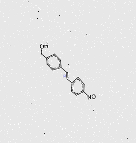 O=Nc1ccc(/C=C/c2ccc(CO)cc2)cc1